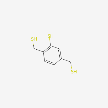 SCc1ccc(CS)c(S)c1